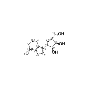 O=[N+]1CN=Cc2c1npn2[C@@H]1O[C@H](CO)[C@@H](O)[C@H]1O